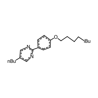 CCCCc1cnc(-c2ccc(OCCCCC(C)CC)cc2)nc1